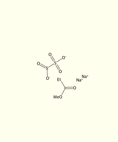 CCC(=O)OC.O=S([O-])S(=O)(=O)[O-].[Na+].[Na+]